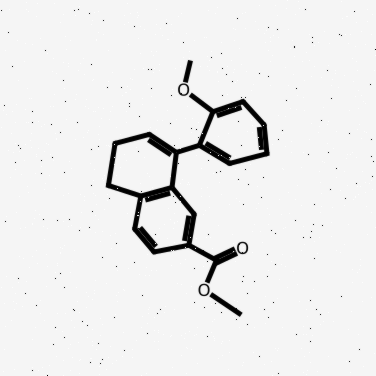 COC(=O)c1ccc2c(c1)C(c1ccccc1OC)=CCC2